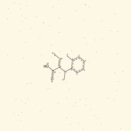 Cc1ccccc1C(C)C(=CI)C(=O)O